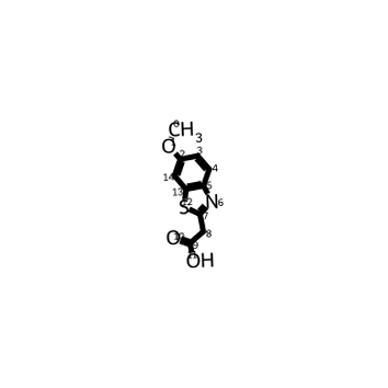 COc1ccc2nc(CC(=O)O)sc2c1